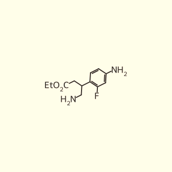 CCOC(=O)CC(CN)c1ccc(N)cc1F